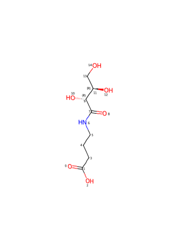 O=C(O)CCCNC(=O)[C@H](O)[C@H](O)CO